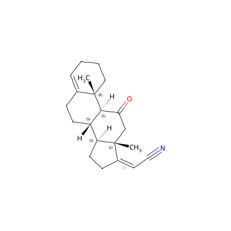 C[C@]12CCCC=C1CC[C@@H]1[C@@H]2C(=O)C[C@]2(C)/C(=C\C#N)CC[C@@H]12